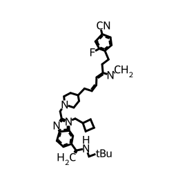 C=N/C(=C\C=C/CC1CCN(Cc2nc3ccc(C(=C)NCC(C)(C)C)cc3n2CC2CCC2)CC1)CCc1ccc(C#N)cc1F